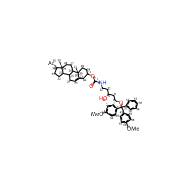 COc1ccc(C(OCCC(O)CCNC(=O)OC2CC[C@]3(C)C(=CCC4C3CC[C@]3(C)C4CC[C@H]3C(C)=O)C2)(c2ccccc2)c2ccc(OC)cc2)cc1